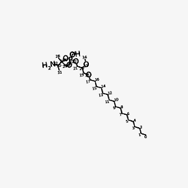 CCCCCCCCCCCCCCCCCCOCC(COP(=O)(O)OC(C)(C)C(C)N)OC